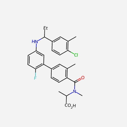 CCC(Nc1ccc(F)c(-c2ccc(C(=O)N(C)C(C)C(=O)O)c(C)c2)c1)c1ccc(Cl)c(C)c1